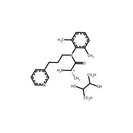 Cc1cccc(C)c1N(CCCc1cccnc1)C(=O)[C@H](C)N.O=C(O)C(O)C(O)C(=O)O